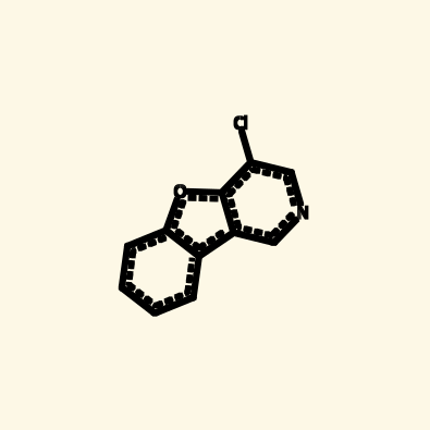 Clc1cncc2c1oc1ccccc12